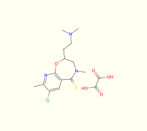 Cc1nc2c(cc1Cl)C(=S)N(C)CC(CCN(C)C)O2.O=C(O)C(=O)O